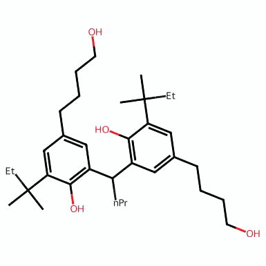 CCCC(c1cc(CCCCO)cc(C(C)(C)CC)c1O)c1cc(CCCCO)cc(C(C)(C)CC)c1O